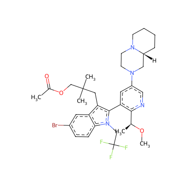 CO[C@@H](C)c1ncc(N2CCN3CCCC[C@@H]3C2)cc1-c1c(CC(C)(C)COC(C)=O)c2cc(Br)ccc2n1CC(F)(F)F